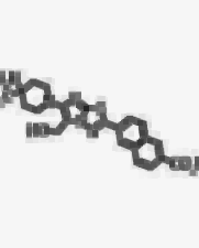 CCOC(=O)c1ccc2cc(-c3nn4c(CO)c(N5CCC(C)(N)CC5)nc4s3)ccc2c1